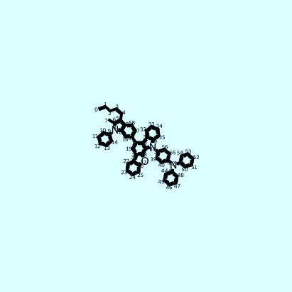 C=CC/C=C\c1c(C)n(-c2ccccc2)c2cc(-c3cc4c5ccccc5oc4c4c3c3ccccc3n4-c3ccc(N(c4ccccc4)c4ccccc4)cc3)ccc12